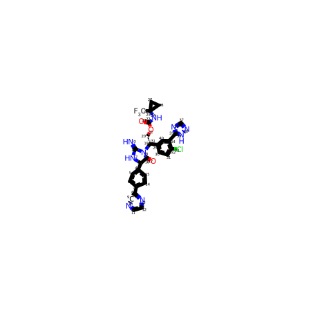 N=C1NC(c2ccc(-c3cnccn3)cc2)C(=O)N1[C@H](COC(=O)NC1(C(F)(F)F)CC1)c1ccc(Cl)c(-c2ncn[nH]2)c1